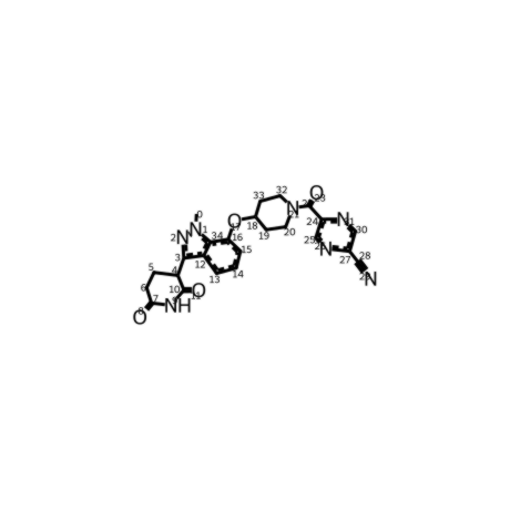 Cn1nc(C2CCC(=O)NC2=O)c2cccc(OC3CCN(C(=O)c4cnc(C#N)cn4)CC3)c21